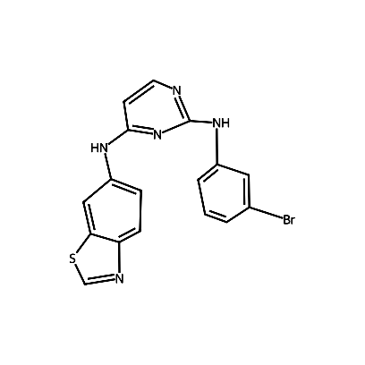 Brc1cccc(Nc2nccc(Nc3ccc4ncsc4c3)n2)c1